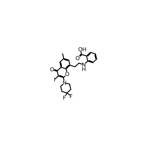 Cc1cc(CCNc2ccccc2C(=O)O)c2oc(N3CCC(F)(F)CC3)c(I)c(=O)c2c1